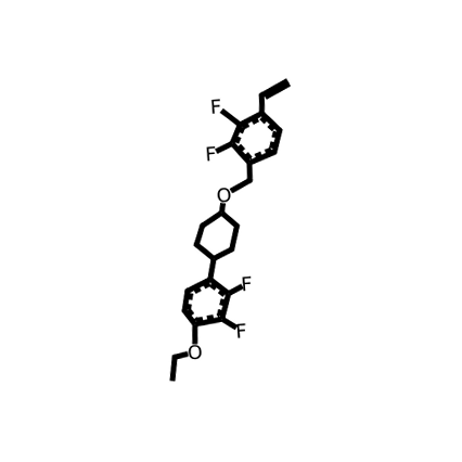 C=Cc1ccc(COC2CCC(c3ccc(OCC)c(F)c3F)CC2)c(F)c1F